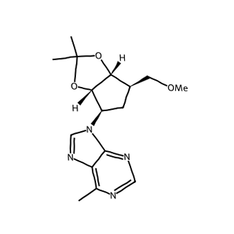 COC[C@H]1C[C@@H](n2cnc3c(C)ncnc32)[C@@H]2OC(C)(C)O[C@H]12